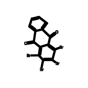 O=C1c2ccccc2C(=O)c2c(Br)c(Br)c(Br)c(Br)c21